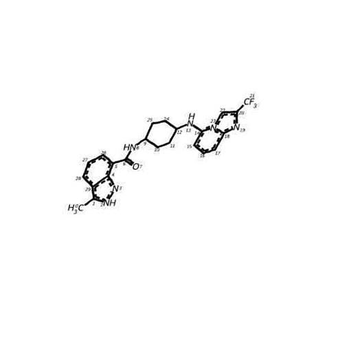 Cc1[nH]nc2c(C(=O)NC3CCC(Nc4cccc5nc(C(F)(F)F)cn45)CC3)cccc12